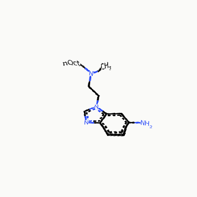 CCCCCCCCN(C)CCn1cnc2ccc(N)cc21